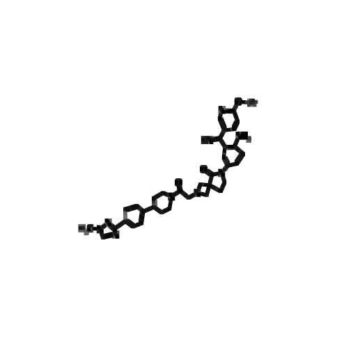 CC(C)Oc1ccc(C(=N)c2cc(N3CCC4(CN(CC(=O)N5CC=C(c6ccc(-c7ncn(C)n7)cc6)CC5)C4)C3=O)ccc2N)cn1